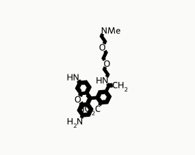 C=C(NCCOCCOCCNC)c1ccc(C(=O)O)c(-c2c3ccc(=N)cc-3oc3cc(N)ccc23)c1